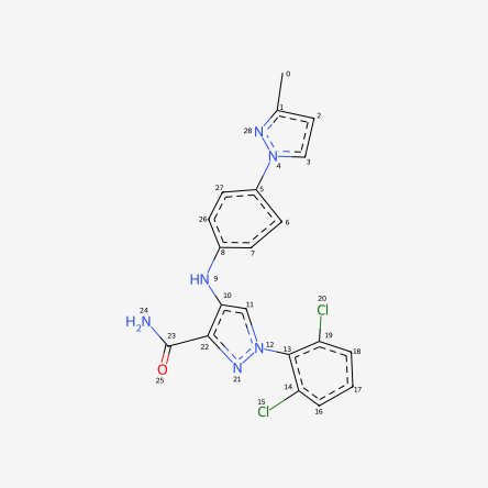 Cc1ccn(-c2ccc(Nc3cn(-c4c(Cl)cccc4Cl)nc3C(N)=O)cc2)n1